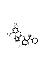 Cn1nnc(N(Cc2cc(C(F)(F)F)cc(C(F)(F)F)c2)Cc2cc(C(F)(F)F)cnc2C(N)C2CCCCC2)n1